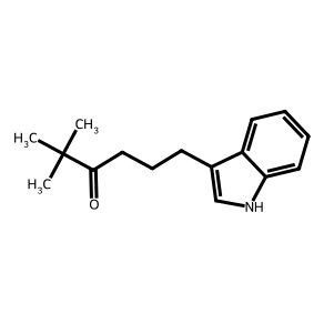 CC(C)(C)C(=O)CCCc1c[nH]c2ccccc12